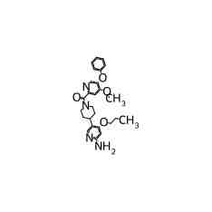 CCCOc1cc(N)ncc1C1CCN(C(=O)c2cc(OC)c(Oc3ccccc3)cn2)CC1